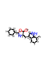 Cc1cccc2c(C=C3N=C(c4ccccc4)OC3=O)c[nH]c12